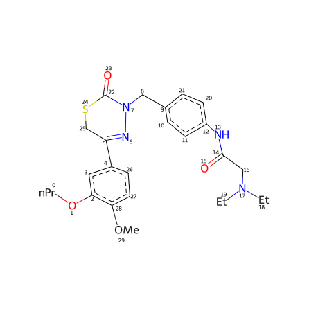 CCCOc1cc(C2=NN(Cc3ccc(NC(=O)CN(CC)CC)cc3)C(=O)SC2)ccc1OC